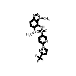 COc1ccc2nnn(C)c2c1NS(=O)(=O)c1ccc(-n2ccc(C(F)(F)F)n2)nc1